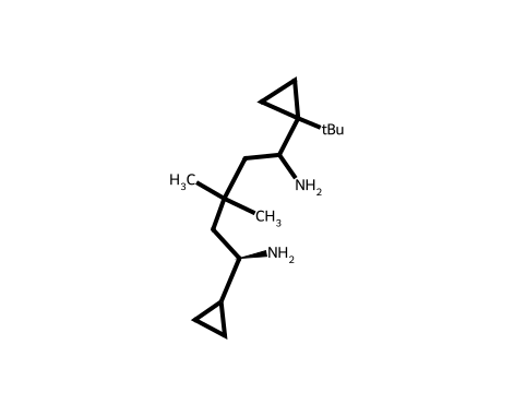 CC(C)(CC(N)C1(C(C)(C)C)CC1)C[C@@H](N)C1CC1